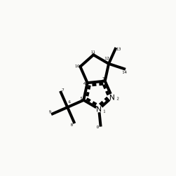 Cn1nc2c(c1C(C)(C)C)CCC2(C)C